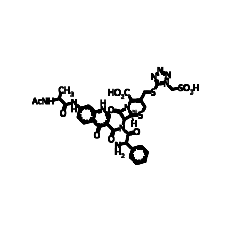 CC(=O)NC(C)C(=O)Nc1ccc2c(=O)c(C(=O)N(C(=O)C(N)c3ccccc3)C3C(=O)N4C(C(=O)O)=C(CSc5nnnn5CS(=O)(=O)O)CS[C@@H]34)c[nH]c2c1